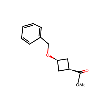 COC(=O)[C@H]1C[C@@H](OCc2ccccc2)C1